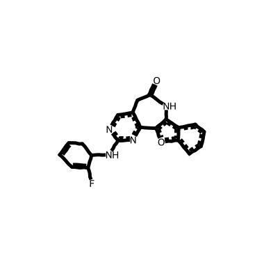 O=C1Cc2cnc(NC3CC=CC=C3F)nc2-c2oc3ccccc3c2N1